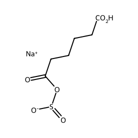 O=C(O)CCCCC(=O)OS(=O)[O-].[Na+]